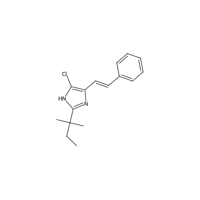 CCC(C)(C)c1nc(/C=C/c2ccccc2)c(Cl)[nH]1